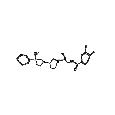 O=C(NCC(=O)N1CCC(N2CCC(O)(c3ccccc3)C2)C1)c1ccc(Cl)c(Cl)c1